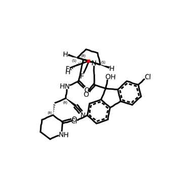 N#C[C@@H](C[C@H]1CCCNC1=O)NC(=O)[C@H]1[C@@H]2CC[C@@H](CC2(F)F)N1C(=O)C1(O)c2cc(Cl)ccc2-c2ccc(Cl)cc21